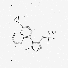 Cc1cnc(SC(C)(C)C(=O)O)n1-c1ccc(C2CC2)c2ccccc12